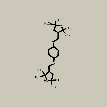 CC1(C)CC(COC2CCC(OCC3CC(C)(C)NC3(C)C)CC2)C(C)(C)N1